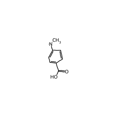 C[N]c1ccc(C(=O)O)cc1